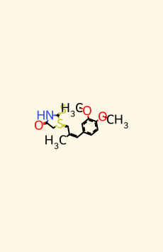 COc1ccc(C=C(C)C=S2CC(=O)NC2=S)cc1OC